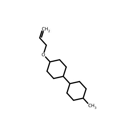 C=CCOC1CCC(C2CCC(C)CC2)CC1